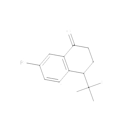 CC(F)(F)C1CCC(=O)c2cc(Br)ccc21